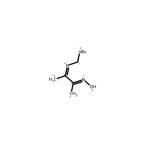 CCCCCN=C(C)C(C)=NO